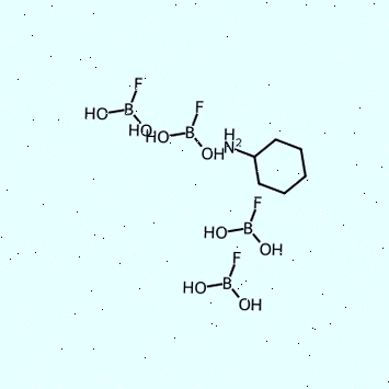 NC1CCCCC1.OB(O)F.OB(O)F.OB(O)F.OB(O)F